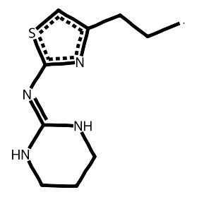 [CH2]CCc1csc(N=C2NCCCN2)n1